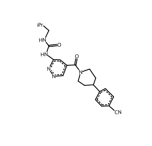 CC(C)CNC(=O)Nc1cc(C(=O)N2CCC(c3ccc(C#N)cc3)CC2)cnn1